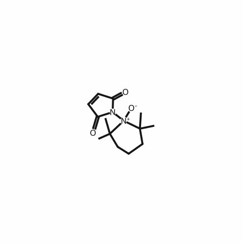 CC1(C)CCCC(C)(C)[N+]1([O-])N1C(=O)C=CC1=O